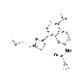 CNc1ncc(-c2ccn(CCOC)n2)c2cc(NC(=O)C3CC3)ncc12